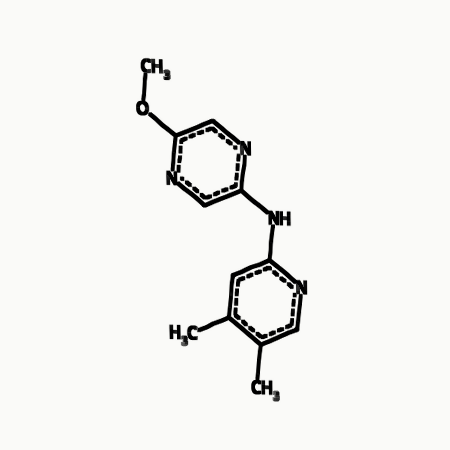 COc1cnc(Nc2cc(C)c(C)cn2)cn1